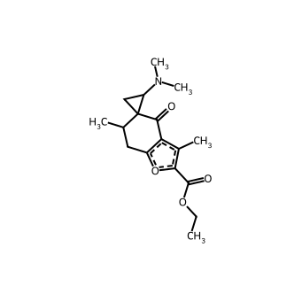 CCOC(=O)c1oc2c(c1C)C(=O)C1(CC1N(C)C)C(C)C2